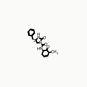 CC1C=CCC(NC(=O)N2C[C@@H](Cc3ccccc3)NC2=O)C1=O